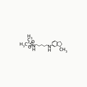 CC1CCc2ccc(NCCCCCNS(=O)(=O)C(C)C)cc21